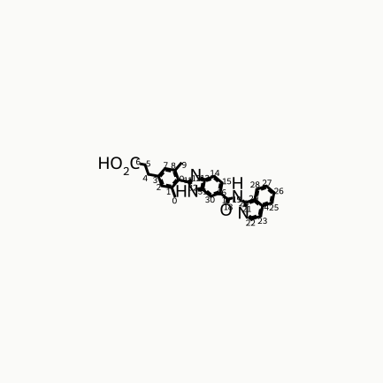 Cc1cc(CCC(=O)O)cc(C)c1-c1nc2ccc(C(=O)Nc3nccc4ccccc34)cc2[nH]1